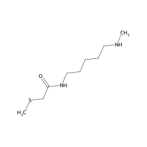 CNCCCCCNC(=O)CSC